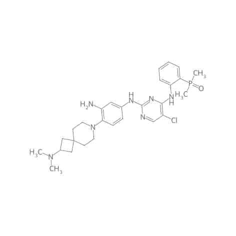 CN(C)C1CC2(CCN(c3ccc(Nc4ncc(Cl)c(Nc5ccccc5P(C)(C)=O)n4)cc3N)CC2)C1